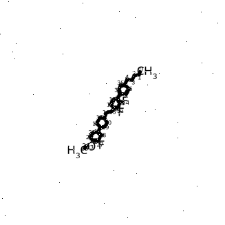 CCCCCc1ccc(-c2ccc(CCC3CCC(c4ccc(OCC)c(F)c4)CC3)c(F)c2F)cc1